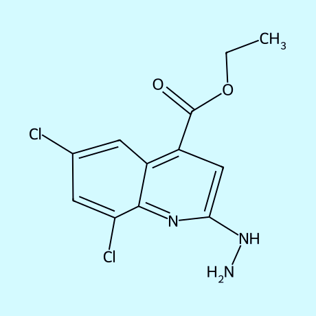 CCOC(=O)c1cc(NN)nc2c(Cl)cc(Cl)cc12